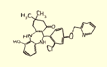 CC1(C)CC(=O)C2=C(C1)Nc1c(O)cccc1NC2c1ccc(OCc2ccccn2)cc1Cl